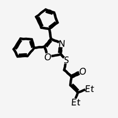 CCC(=CC(=O)CSc1nc(-c2ccccc2)c(-c2ccccc2)o1)CC